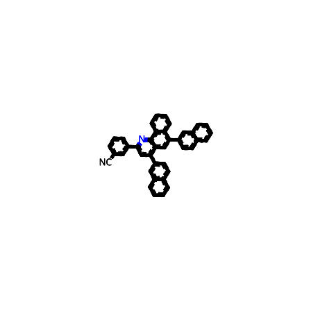 N#Cc1cccc(-c2cc(-c3ccc4ccccc4c3)c3cc(-c4ccc5ccccc5c4)c4ccccc4c3n2)c1